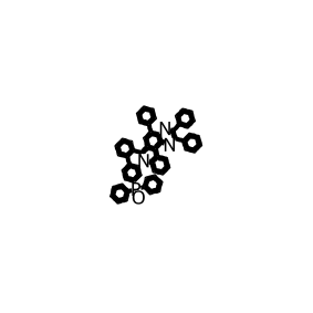 O=P(c1ccccc1)(c1ccccc1)c1ccc(-c2ccccc2-c2nc3ccccc3c3c2cc(-c2ccccc2)c2nc(-c4ccccc4)c(-c4ccccc4)nc23)cc1